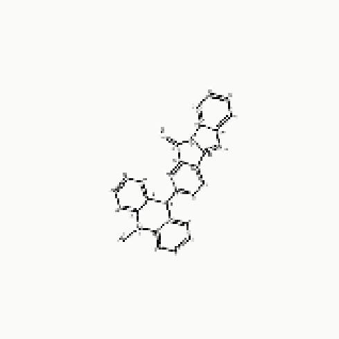 CCN1c2ccccc2N(c2ccc3c(c2)C(=O)n2c-3nc3ccccc32)c2ccccc21